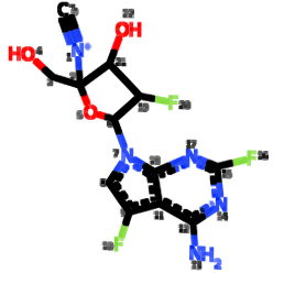 [C-]#[N+]C1(CO)OC(n2cc(F)c3c(N)nc(F)nc32)C(F)C1O